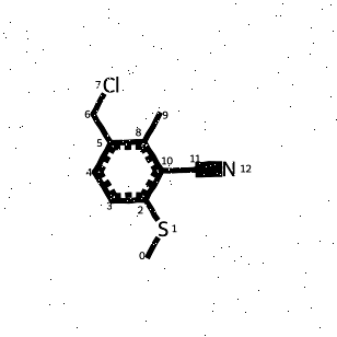 CSc1ccc(CCl)c(C)c1C#N